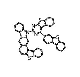 c1ccc2c(c1)sc1cc(-c3nc(-n4c5ccccc5c5cc6ccc7sc8ccccc8c7c6cc54)nc4sc5ccccc5c34)ccc12